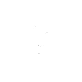 CC(=O)C1CCC(F)N1